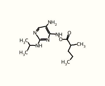 CCCC(C)C(=O)ONc1nc(NC(C)C)ncc1N